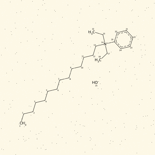 CCCCCCCCCCCCCC[N+](CC)(CC)c1ccccc1.[OH-]